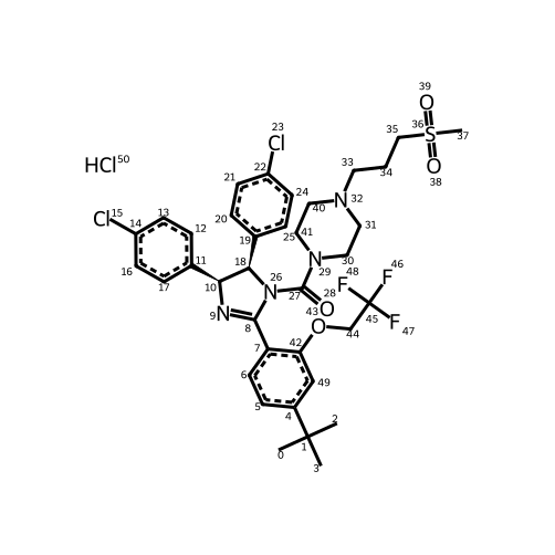 CC(C)(C)c1ccc(C2=N[C@@H](c3ccc(Cl)cc3)[C@@H](c3ccc(Cl)cc3)N2C(=O)N2CCN(CCCS(C)(=O)=O)CC2)c(OCC(F)(F)F)c1.Cl